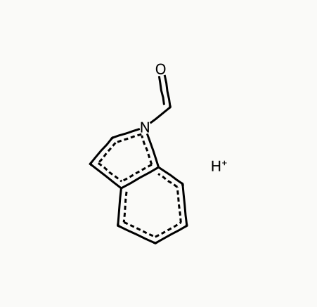 O=Cn1ccc2ccccc21.[H+]